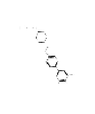 CCCCCCCCC[C@H]1CC[C@H](CCc2ccc(-c3cc(F)c(F)c(F)c3)cc2)CC1